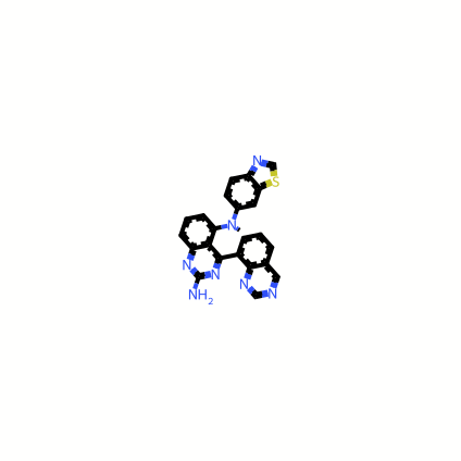 CN(c1ccc2ncsc2c1)c1cccc2nc(N)nc(-c3cccc4cncnc34)c12